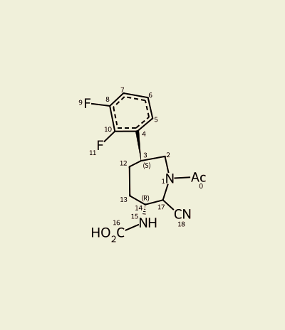 CC(=O)N1C[C@H](c2cccc(F)c2F)CC[C@@H](NC(=O)O)C1C#N